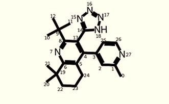 Cc1cc(-c2c3c(nc(C(C)(C)C)c2-c2nnn[nH]2)C(C)(C)CCC3)ccn1